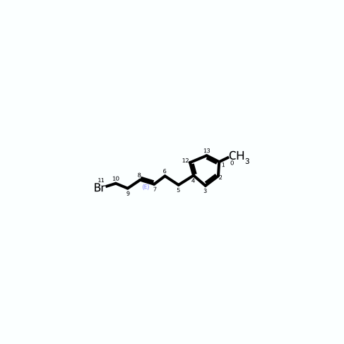 Cc1ccc(CC/C=C/CCBr)cc1